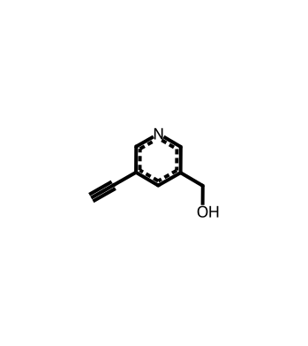 C#Cc1cncc(CO)c1